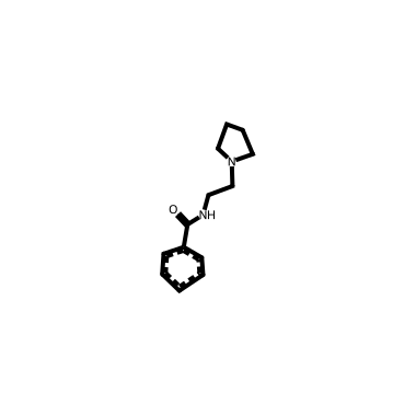 O=C(NCCN1CCCC1)c1ccccc1